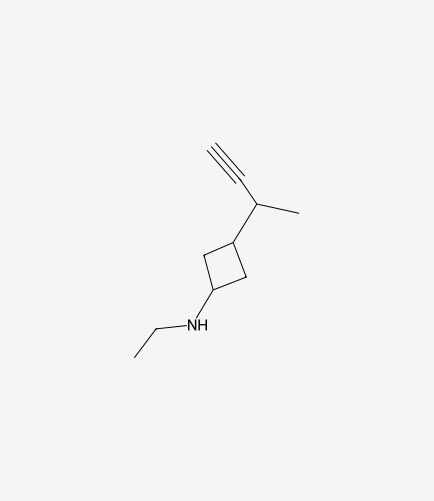 C#CC(C)C1CC(NCC)C1